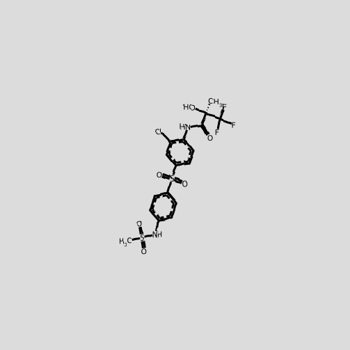 C[C@@](O)(C(=O)Nc1ccc(S(=O)(=O)c2ccc(NS(C)(=O)=O)cc2)cc1Cl)C(F)(F)F